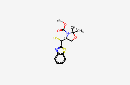 CC(C)(C)OC(=O)N1[C@H](C(S)c2nc3ccccc3s2)COC1(C)C